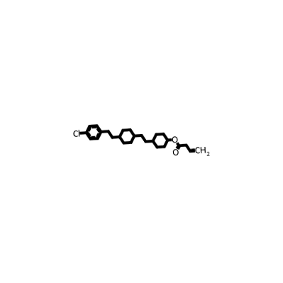 C=CCC(=O)OC1CCC(CCC2CCC(CCc3ccc(Cl)cc3)CC2)CC1